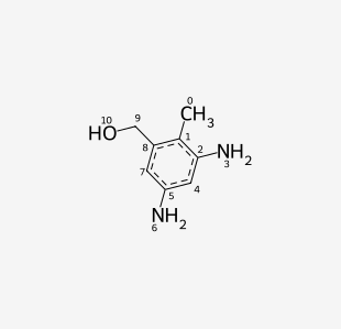 Cc1c(N)cc(N)cc1CO